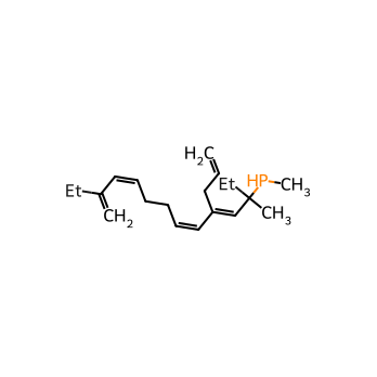 C=CCC(/C=C\CC/C=C\C(=C)CC)=C\C(C)(CC)PC